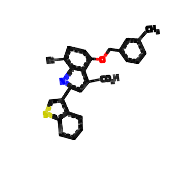 CCc1ccc(OCc2cccc(C)c2)c2c(C(=O)O)cc(-c3csc4ccccc34)nc12